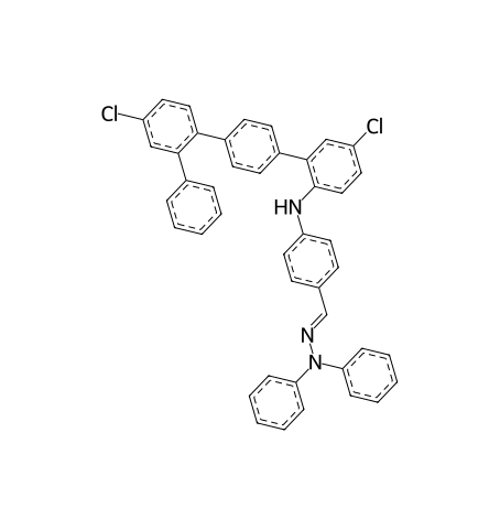 Clc1ccc(Nc2ccc(C=NN(c3ccccc3)c3ccccc3)cc2)c(-c2ccc(-c3ccc(Cl)cc3-c3ccccc3)cc2)c1